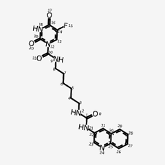 O=C(NCCCCCCNC(=O)n1cc(F)c(=O)[nH]c1=O)Nc1cnc2ccccc2c1